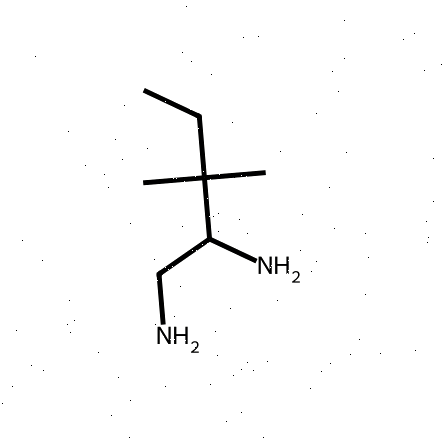 CCC(C)(C)C(N)CN